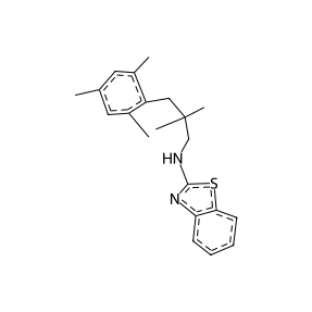 Cc1cc(C)c(CC(C)(C)CNc2nc3ccccc3s2)c(C)c1